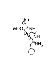 COC(=O)[C@H](COC(C)(C)C)NC(=O)[C@H](C)NC(=O)[C@@H](N)Cc1ccccc1